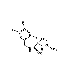 COC(=O)C1(C)Cc2cc(F)c(F)cc2CNC1=O